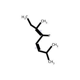 CC/C(C)=C(F)\C=C/C(C)C